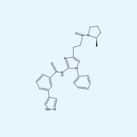 C[C@@H]1CCCN1C(=O)CCc1cn(-c2ccccc2)c(NC(=O)c2cccc(-c3cn[nH]c3)c2)n1